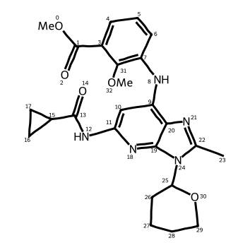 COC(=O)c1cccc(Nc2cc(NC(=O)C3CC3)nc3c2nc(C)n3C2CCCCO2)c1OC